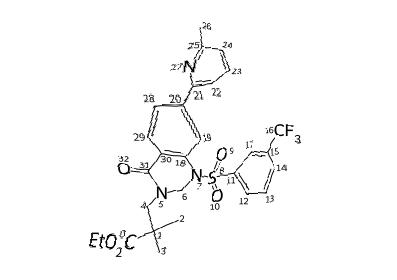 CCOC(=O)C(C)(C)CN1CN(S(=O)(=O)c2cccc(C(F)(F)F)c2)c2cc(-c3cccc(C)n3)ccc2C1=O